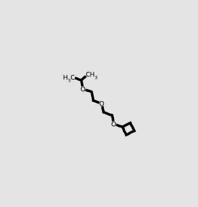 CC(C)OCCOCCOC1CCC1